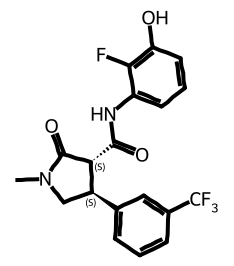 CN1C[C@H](c2cccc(C(F)(F)F)c2)[C@@H](C(=O)Nc2cccc(O)c2F)C1=O